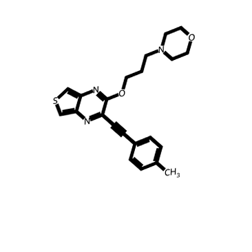 Cc1ccc(C#Cc2nc3cscc3nc2OCCCN2CCOCC2)cc1